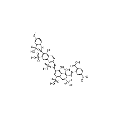 COc1ccc(N=Nc2c(S(=O)(=O)O)cc3c(S(=O)(=O)O)c(N=Nc4cc(S(=O)(=O)O)c5cc(S(=O)(=O)O)c(N=Nc6cc([N+](=O)[O-])ccc6C(=O)O)c(O)c5c4N)ccc3c2O)c(S(=O)(=O)O)c1